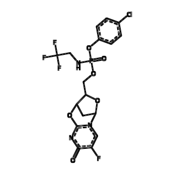 O=c1nc2n(cc1F)C1CC(O2)C(COP(=O)(NCC(F)(F)F)Oc2ccc(Cl)cc2)O1